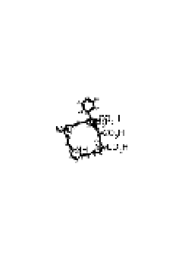 O=C(O)C1=Cc2cc3ccc(cc4nc(cc5c(-c6ccccc6)c(C(=O)O)c(c(C(=O)O)c1n2)n5C(=O)O)C=C4)[nH]3.[Mn]